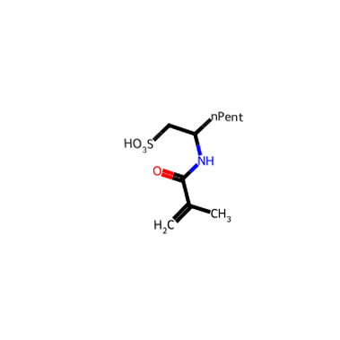 C=C(C)C(=O)NC(CCCCC)CS(=O)(=O)O